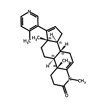 Cc1ccncc1C1=CC[C@H]2[C@@H]3CC=C4N(C)C(=O)CC[C@]4(C)[C@H]3CC[C@]12C